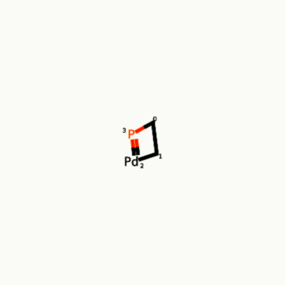 C1[CH2][Pd]=[P]1